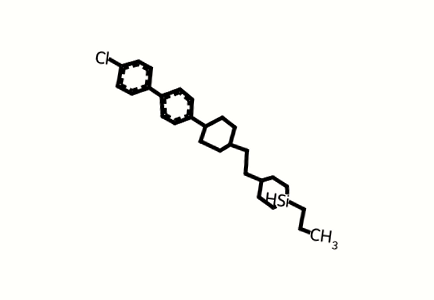 CCC[SiH]1CCC(CCC2CCC(c3ccc(-c4ccc(Cl)cc4)cc3)CC2)CC1